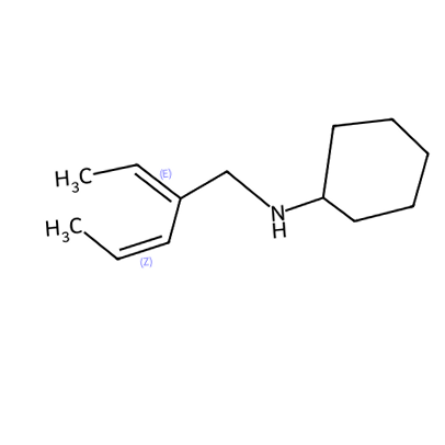 C/C=C\C(=C/C)CNC1CCCCC1